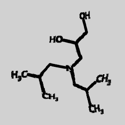 CC(C)CN(CC(C)C)CC(O)CO